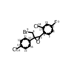 Fc1ccc(C2OC2(CBr)c2ccc(Cl)cc2)c(Cl)c1